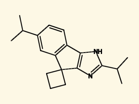 CC(C)c1ccc2c(c1)C1(CCC1)c1nc(C(C)C)[nH]c1-2